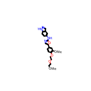 COCCOCCOc1ccc(-c2cnc(Nc3ccc4[nH]ncc4c3)o2)cc1OC